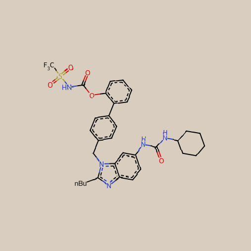 CCCCc1nc2ccc(NC(=O)NC3CCCCC3)cc2n1Cc1ccc(-c2ccccc2OC(=O)NS(=O)(=O)C(F)(F)F)cc1